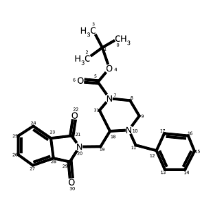 CC(C)(C)OC(=O)N1CCN(Cc2ccccc2)C(CN2C(=O)c3ccccc3C2=O)C1